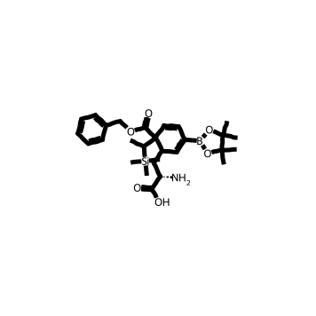 CC(C1(C(=O)OCc2ccccc2)C=CC(B2OC(C)(C)C(C)(C)O2)=CC1C[C@H](N)C(=O)O)[Si](C)(C)C